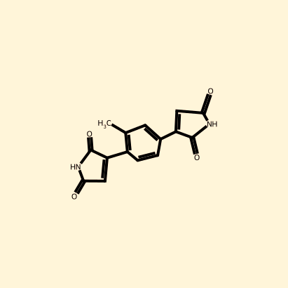 Cc1cc(C2=CC(=O)NC2=O)ccc1C1=CC(=O)NC1=O